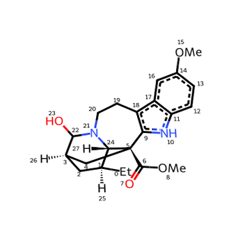 CC[C@H]1C[C@@H]2C[C@@]3(C(=O)OC)c4[nH]c5ccc(OC)cc5c4CCN(C2O)[C@@H]13